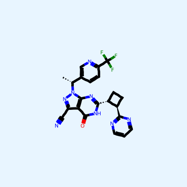 C[C@H](c1ccc(C(F)(F)F)nc1)n1nc(C#N)c2c(=O)[nH]c([C@@H]3CC[C@H]3c3ncccn3)nc21